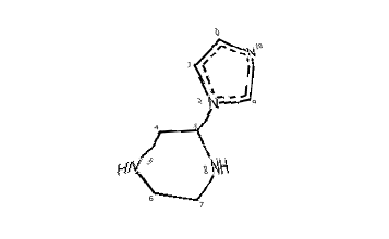 c1cn(C2CNCCN2)cn1